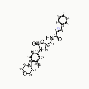 O=C(/C=C/c1ccccc1)NC[C@H]1CN(c2ccc(N3CCOCC3)c(F)c2)C(=O)O1